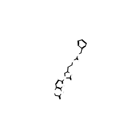 O=C1COc2ccc(N3CC(CCNC(=O)OCc4ccccc4)OC3=O)nc2N1